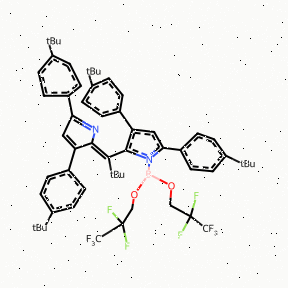 CC(C)(C)/C(=C1/N=C(c2ccc(C(C)(C)C)cc2)C=C1c1ccc(C(C)(C)C)cc1)c1c(-c2ccc(C(C)(C)C)cc2)cc(-c2ccc(C(C)(C)C)cc2)n1B(OCC(F)(F)C(F)(F)F)OCC(F)(F)C(F)(F)F